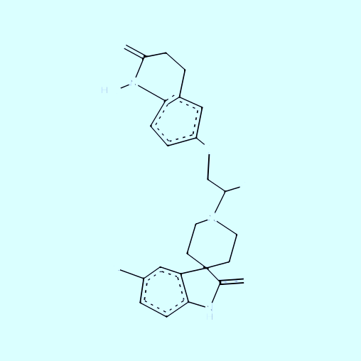 CC(COc1ccc2c(c1)CCC(=O)N2C)N1CCC2(CC1)C(=O)Nc1ccc(Cl)cc12